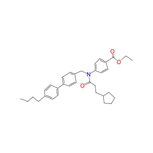 CCCCc1ccc(-c2ccc(CN(C(=O)CCC3CCCC3)c3ccc(C(=O)OCC)cc3)cc2)cc1